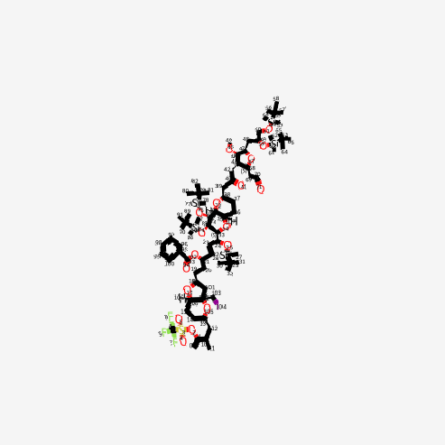 C=C(OS(=O)(=O)C(F)(F)F)C(C)C[C@H]1CC[C@@H]2O[C@@H](CCC(C=CC(O[Si](C)(C)C(C)(C)C)[C@@H]3O[C@H]4CC[C@H](CC(=O)C[C@@H]5[C@@H](OC)[C@@H](CC(CO[Si](C)(C)C(C)(C)C)O[Si](C)(C)C(C)(C)C)O[C@H]5CC=O)O[C@@H]4[C@H](O[Si](C)(C)C(C)(C)C)[C@@H]3O[Si](C)(C)C(C)(C)C)OC(=O)c3ccccc3)C[C@]2(CI)O1